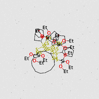 CCO[Si](OCC)(OCC)SS(SS)(C1CC2CCC1C2)C1(S(SS)(S[Si](OCC)(OCC)OCC)C2CC3CCC2C3)CCCCCCCCCCC1(S(SS)(S[Si](OCC)(OCC)OCC)C1CC2CCC1C2)S(SS)(S[Si](OCC)(OCC)OCC)C1CC2CCC1C2